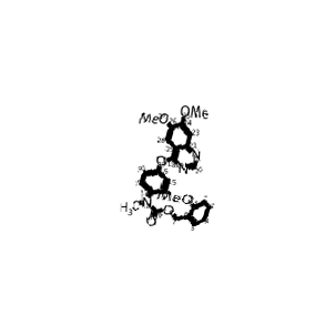 COc1ccccc1COC(=O)N(C)c1ccc(Oc2ncnc3cc(OC)c(OC)cc23)cc1